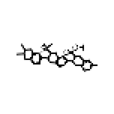 Cc1ccc2c(c1)CC(C(=O)O)C(c1ccc3c(c1)CC([Si](C)(C)C)C(c1ccc4c(c1)CC(C)C(C)C4)C3)C2